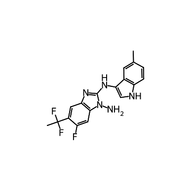 Cc1ccc2[nH]cc(Nc3nc4cc(C(C)(F)F)c(F)cc4n3N)c2c1